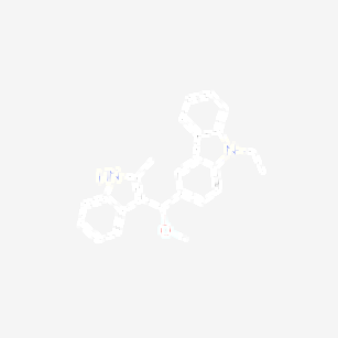 CCn1c2ccccc2c2cc(C(OC)c3c(C)[nH]c4ccccc34)ccc21